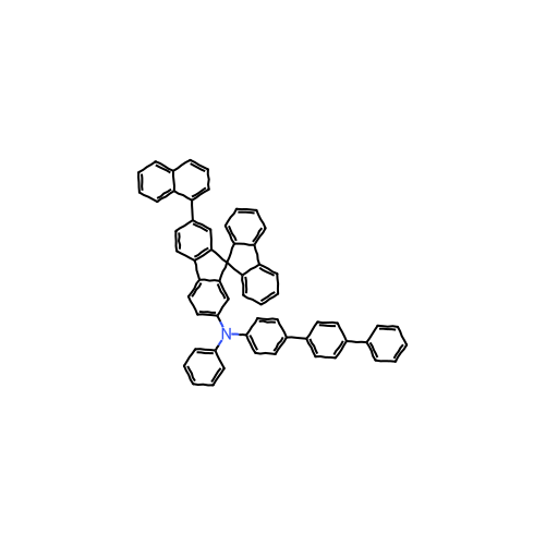 c1ccc(-c2ccc(-c3ccc(N(c4ccccc4)c4ccc5c(c4)C4(c6ccccc6-c6ccccc64)c4cc(-c6cccc7ccccc67)ccc4-5)cc3)cc2)cc1